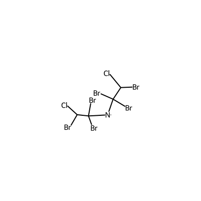 ClC(Br)C(Br)(Br)[N]C(Br)(Br)C(Cl)Br